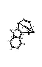 C1=CC2C3C=CC1c1oc4ccccc4c1C23